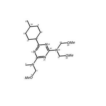 COCN(C)c1nc(C2CCC(C)CC2)nc(N(COC)COC)n1